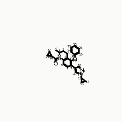 CC1CCc2c(ccc(-c3cnn(C4CC4)c3)c2Oc2ccccc2)N1C(=O)C1CC1